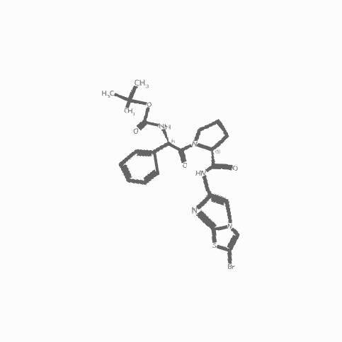 CC(C)(C)OC(=O)N[C@@H](C(=O)N1CCC[C@H]1C(=O)Nc1cn2cc(Br)sc2n1)c1ccccc1